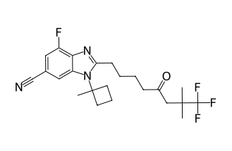 CC1(n2c(CCCCC(=O)CC(C)(C)C(F)(F)F)nc3c(F)cc(C#N)cc32)CCC1